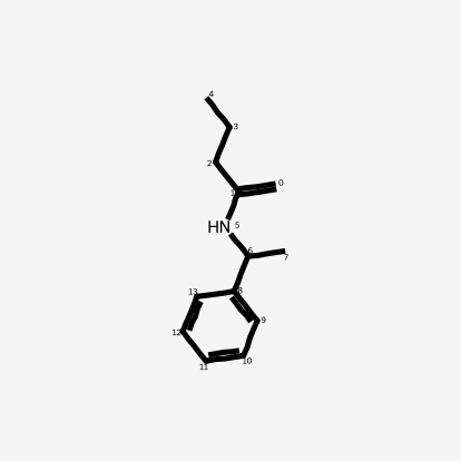 C=C(CCC)NC(C)c1ccccc1